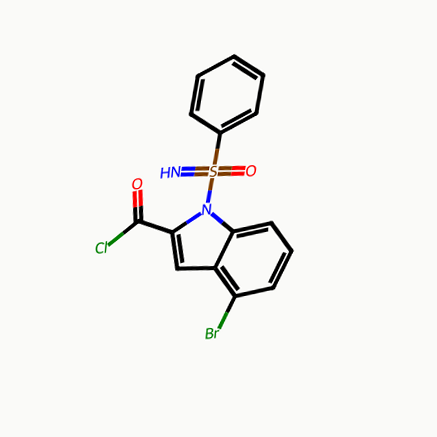 N=S(=O)(c1ccccc1)n1c(C(=O)Cl)cc2c(Br)cccc21